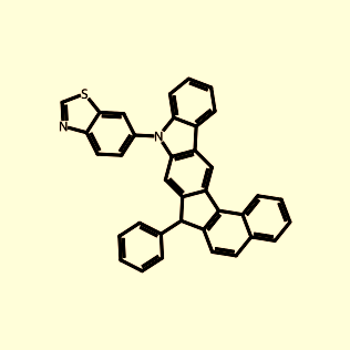 c1ccc(C2c3cc4c(cc3-c3c2ccc2ccccc32)c2ccccc2n4-c2ccc3ncsc3c2)cc1